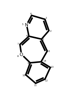 C1=c2cccnc2=COc2ccccc21